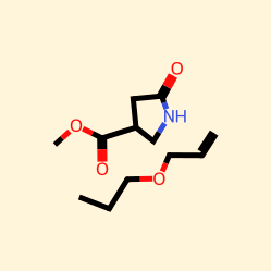 C=CCOCCC.COC(=O)C1CNC(=O)C1